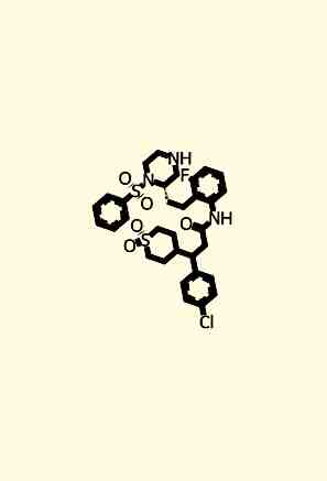 O=C(CC(c1ccc(Cl)cc1)C1CCS(=O)(=O)CC1)Nc1cccc(F)c1CC[C@H]1CNCCN1S(=O)(=O)c1ccccc1